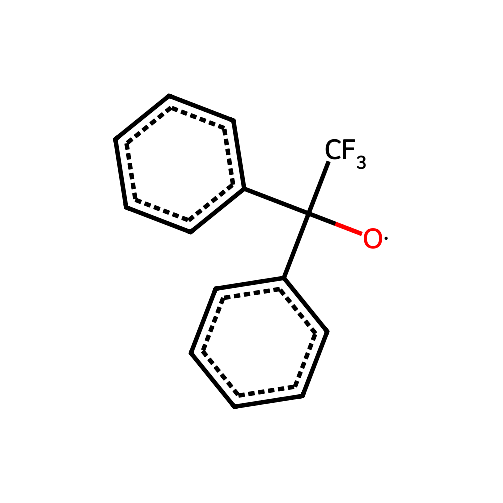 [O]C(c1ccccc1)(c1ccccc1)C(F)(F)F